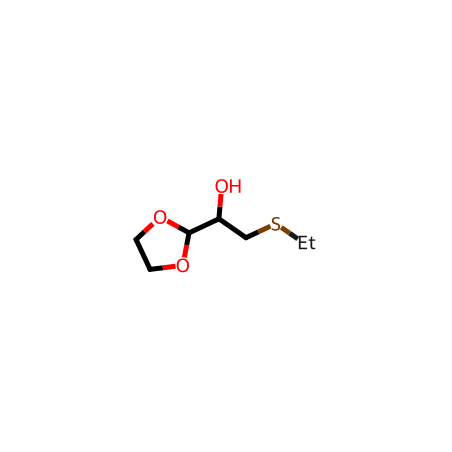 CCSCC(O)C1OCCO1